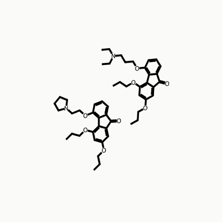 CCCOc1cc(OCCC)c2c(c1)C(=O)c1cccc(OCCCN(CC)CC)c1-2.CCCOc1cc(OCCC)c2c(c1)C(=O)c1cccc(OCCN3CCCC3)c1-2